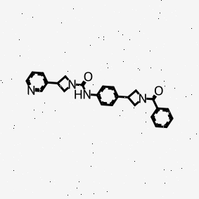 O=C(Nc1ccc(C2CN(C(=O)c3ccccc3)C2)cc1)N1CC(c2cccnc2)C1